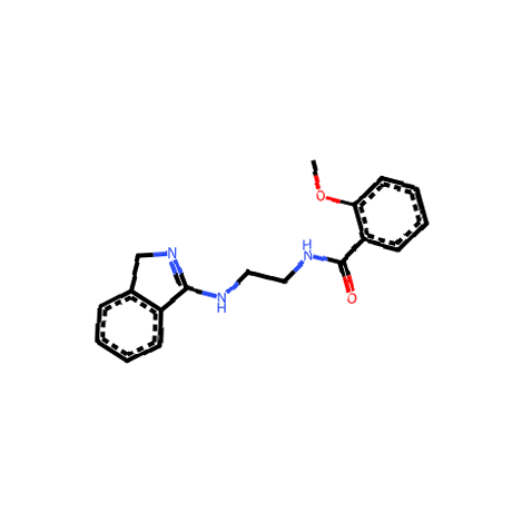 COc1ccccc1C(=O)NCCNC1=NCc2ccccc21